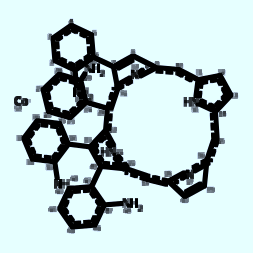 Nc1ccccc1C1=Cc2cc3ccc(cc4nc(cc5[nH]c(c(-c6ccccc6N)c1n2)c(-c1ccccc1N)c5-c1ccccc1N)C=C4)[nH]3.[Co]